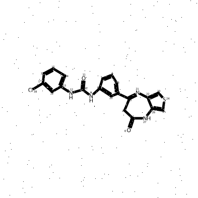 O=C1CC(c2cccc(NC(=O)Nc3cccc(Cl)c3)c2)=Nc2cscc2N1